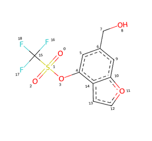 O=S(=O)(Oc1cc(CO)cc2occc12)C(F)(F)F